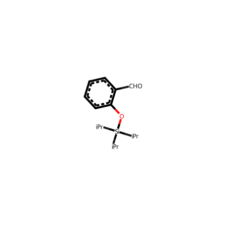 CC(C)[Si](Oc1ccccc1C=O)(C(C)C)C(C)C